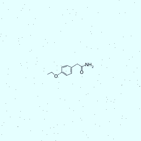 CCOc1ccc(CC(N)=O)cc1